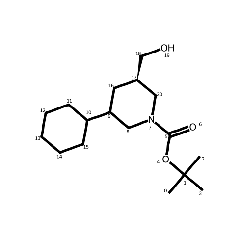 CC(C)(C)OC(=O)N1CC(C2CCCCC2)C[C@@H](CO)C1